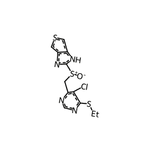 CCSc1ncnc(C[S+]([O-])c2nc3cscc3[nH]2)c1Cl